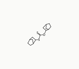 S=C(OC1CC2CCC1C2)SC1CC2CCC1C2